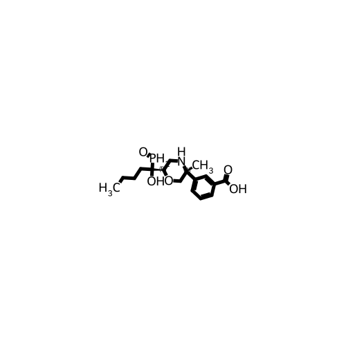 CCCCC(O)([PH2]=O)[C@H]1CN[C@](C)(c2cccc(C(=O)O)c2)CO1